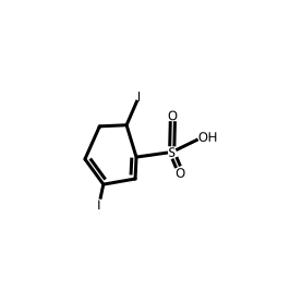 O=S(=O)(O)C1=CC(I)=CCC1I